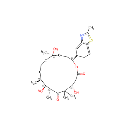 Cc1nc2c(s1)=CCC([C@@H]1CC[C@](C)(O)CCC[C@H](C)[C@H](O)[C@@H](C)C(=O)C(C)(C)[C@@H](O)CC(=O)O1)C=2